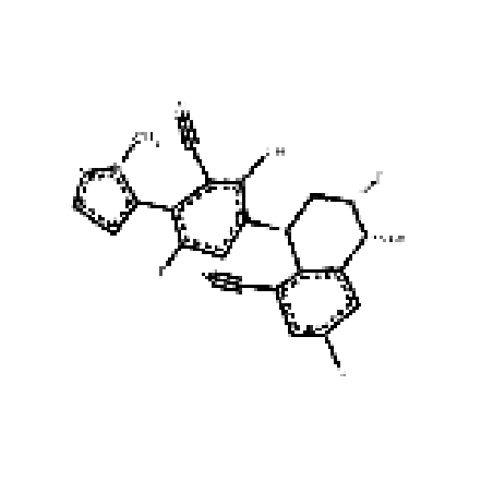 Cc1c([C@H]2C[C@H](F)[C@H](F)c3cc(F)cc(C#N)c32)cc(F)c(-c2ccnn2C)c1C#N